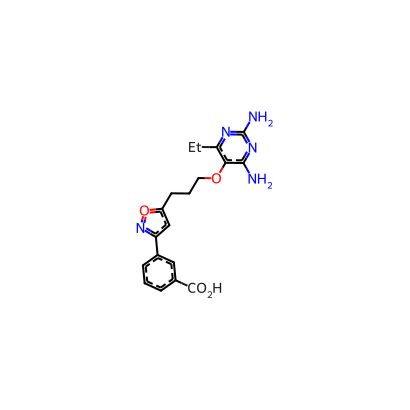 CCc1nc(N)nc(N)c1OCCCc1cc(-c2cccc(C(=O)O)c2)no1